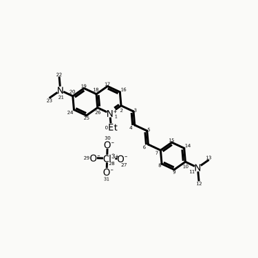 CC[n+]1c(C=CC=Cc2ccc(N(C)C)cc2)ccc2cc(N(C)C)ccc21.[O-][Cl+3]([O-])([O-])[O-]